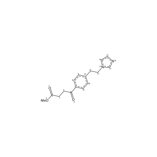 COC(=O)CCC(=O)c1ccc(CCn2ccnc2)cc1